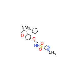 CN[C@H]1COc2ccc(OCCNS(=O)(=O)c3cnn(C)c3)cc2[C@H]1Cc1ccccc1